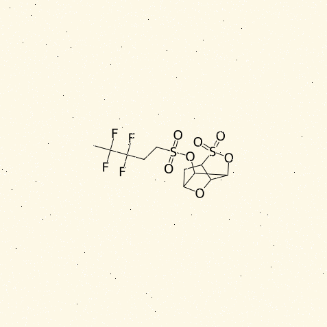 CC(F)(F)C(F)(F)CCS(=O)(=O)OC1C2CC3C(O2)C1OS3(=O)=O